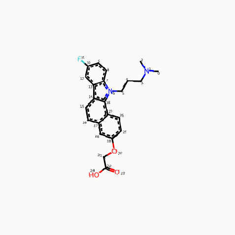 CN(C)CCCn1c2ccc(F)cc2c2ccc3cc(OCC(=O)O)ccc3c21